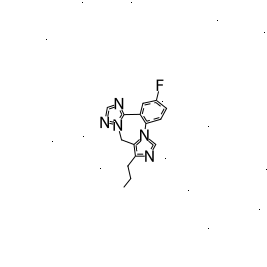 CCCc1ncn2c1Cn1ncnc1-c1cc(F)ccc1-2